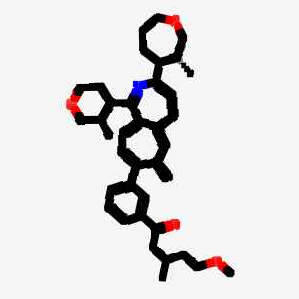 C=C1C=C2C=C=C(C3CCCOC[C@@H]3C)N=C(C3CCOC[C@@H]3C)C2=CC=C1c1cccc(C(=O)CC(C)CCOC)c1